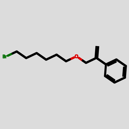 C=C(COCCCCCCBr)c1ccccc1